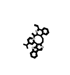 C=CC1=NC2C(=C)[n+]3ccc(C(C)C)cc3-c3c(ncc4c3oc3ccccc34)CCC2c2ccccc21